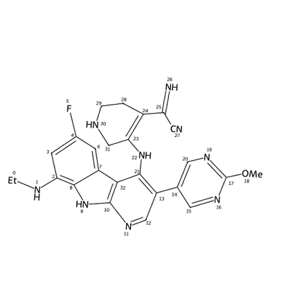 CCNc1cc(F)cc2c1[nH]c1ncc(-c3cnc(OC)nc3)c(NC3=C(C(=N)C#N)CCNC3)c12